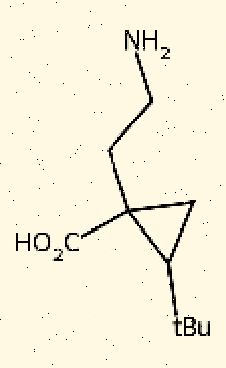 CC(C)(C)C1CC1(CCN)C(=O)O